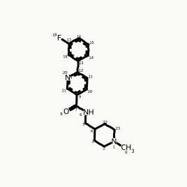 CN1CCC(CNC(=O)c2ccc(-c3cccc(F)c3)nc2)CC1